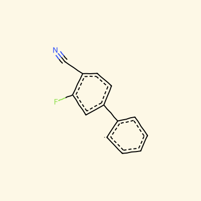 N#Cc1ccc(-c2[c]cccc2)cc1F